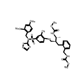 COc1ccc(CN(c2ncns2)S(=O)(=O)c2ccc(NC[C@H](Cc3ccccc3CNC(=O)OC(C)(C)C)[C@@H](C)NC(=O)OC(C)(C)C)c(C#N)c2)c(OC)c1